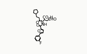 O=CCC(C(=O)O)N(NC(=O)c1ccc(-c2cccc(F)c2)o1)C(=O)CCC1CCCC1